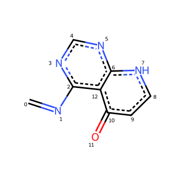 C=Nc1ncnc2[nH]ccc(=O)c12